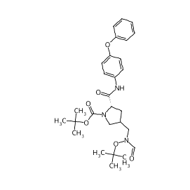 CC(C)(C)OC(=O)N1CC(CN(C=O)OC(C)(C)C)C[C@H]1C(=O)Nc1ccc(Oc2ccccc2)cc1